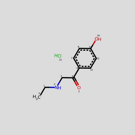 CCNCC(=O)c1ccc(O)cc1.Cl